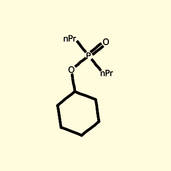 CCCP(=O)(CCC)OC1CCCCC1